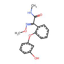 CNC(=O)/C(=N/OC)c1ccccc1Oc1cccc(O)c1